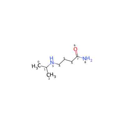 CC(C)NCCCC(N)=O